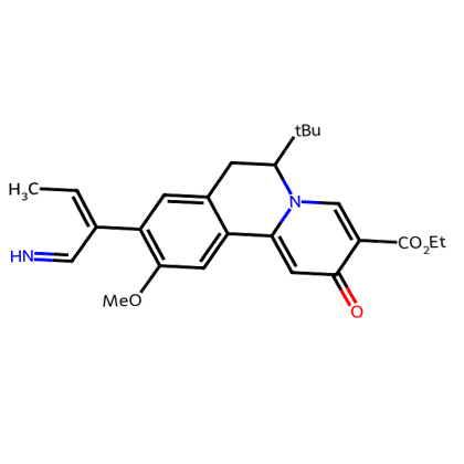 C/C=C(\C=N)c1cc2c(cc1OC)-c1cc(=O)c(C(=O)OCC)cn1C(C(C)(C)C)C2